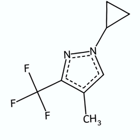 Cc1cn(C2CC2)nc1C(F)(F)F